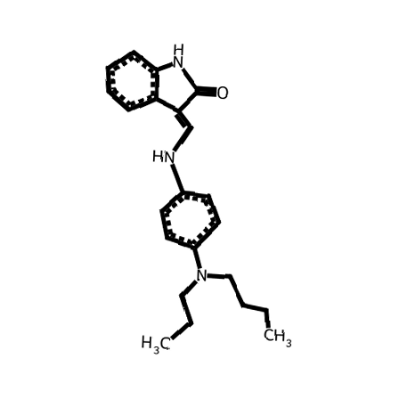 CCCCN(CCC)c1ccc(N/C=C2/C(=O)Nc3ccccc32)cc1